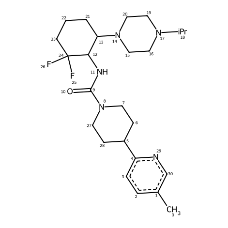 Cc1ccc(C2CCN(C(=O)NC3C(N4CCN(C(C)C)CC4)CCCC3(F)F)CC2)nc1